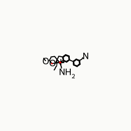 COC1CCC2(CC1)Cc1ccc(-c3cccc(C#N)c3)cc1C21C=C(N)N(C)C1=O